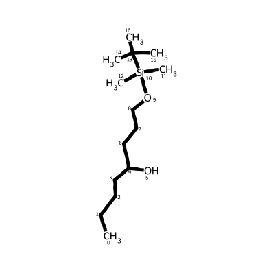 CCCCC(O)CCCO[Si](C)(C)C(C)(C)C